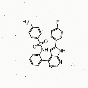 Cc1ccc(S(=O)(=O)Nc2ccccc2-c2ncnc3[nH]c(-c4ccc(F)cc4)cc23)cc1